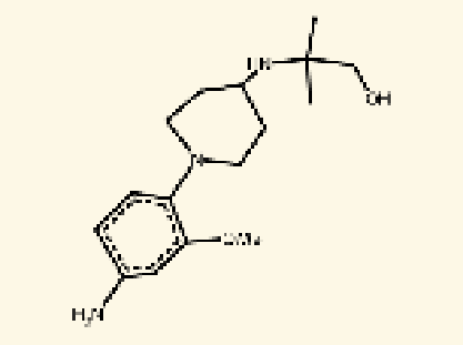 COc1cc(N)ccc1N1CCC(NC(C)(C)CO)CC1